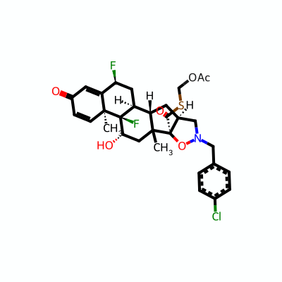 CC(=O)OCSC(=O)[C@@]12ON(Cc3ccc(Cl)cc3)C[C@@H]1C[C@H]1[C@@H]3C[C@H](F)C4=CC(=O)C=C[C@]4(C)[C@@]3(F)[C@@H](O)CC12C